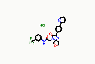 Cl.O=C(CN1C(=O)C(c2ccc(-c3ccccn3)cc2)=NC12CCOC2)Nc1cccc(C(F)(F)F)c1